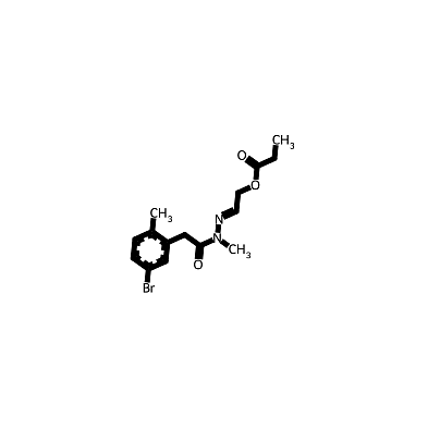 CCC(=O)OC/C=N/N(C)C(=O)Cc1cc(Br)ccc1C